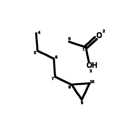 CC(=O)O.CCCCC1CC1